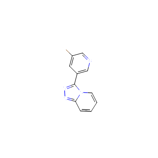 Brc1cncc(-c2nnc3ccccn23)c1